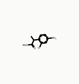 COC(=O)C(C)c1ccc(N)cc1Cl